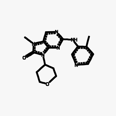 Cc1ccncc1Nc1ncc2c(n1)n(C1CCOCC1)c(=O)n2C